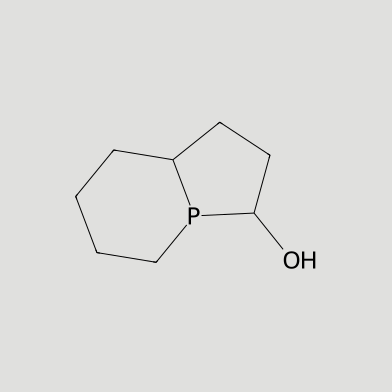 OC1CCC2CCCCP12